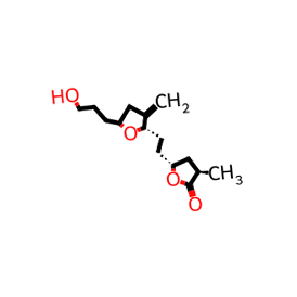 C=C1CC(CCCO)O[C@H]1CC[C@@H]1C[C@@H](C)C(=O)O1